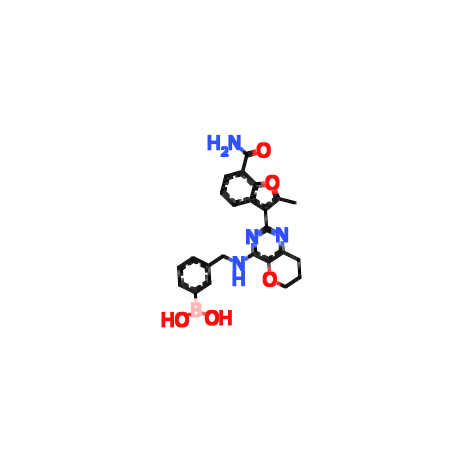 Cc1oc2c(C(N)=O)cccc2c1-c1nc2c(c(NCc3cccc(B(O)O)c3)n1)OCCC2